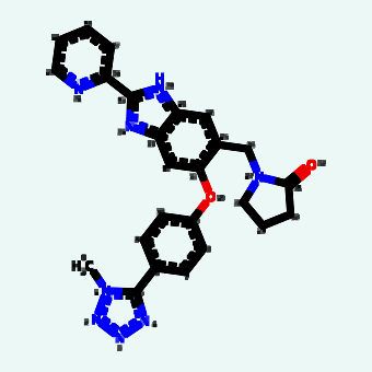 Cn1nnnc1-c1ccc(Oc2cc3nc(-c4ccccn4)[nH]c3cc2CN2CCCC2=O)cc1